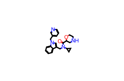 O=C(C1CNCCO1)N(Cc1cn(Cc2cccnc2)c2ccccc12)C1CC1